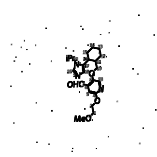 COCCOc1cc(C=O)c(OCC2CCCCC2c2cncn2C(C)C)cn1